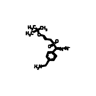 CC(C)(C)OC=CCS(=O)(=O)C(=[N+]=[N-])c1ccc(CN)cc1